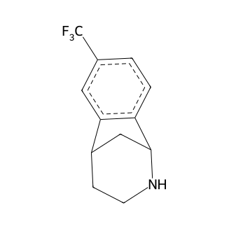 FC(F)(F)c1ccc2c(c1)C1CCNC2C1